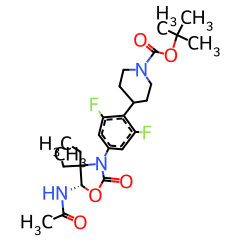 CCC1(CC)[C@@H](NC(C)=O)OC(=O)N1c1cc(F)c(C2CCN(C(=O)OC(C)(C)C)CC2)c(F)c1